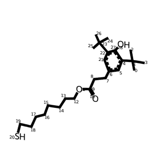 CC(C)(C)c1cc(CCC(=O)OCCCCCCCCS)cc(C(C)(C)C)c1O